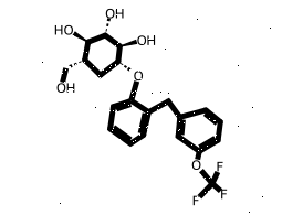 OC[C@H]1C[C@@H](Oc2ccccc2Cc2cccc(OC(F)(F)F)c2)[C@H](O)[C@@H](O)[C@@H]1O